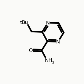 CC(C)(C)Cc1nccnc1C(N)=O